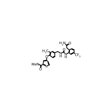 CNC(=O)c1cc(Oc2ccc(CNC(=O)Nc3cc(C(F)(F)F)ccc3CC(N)=O)cc2C)ccn1